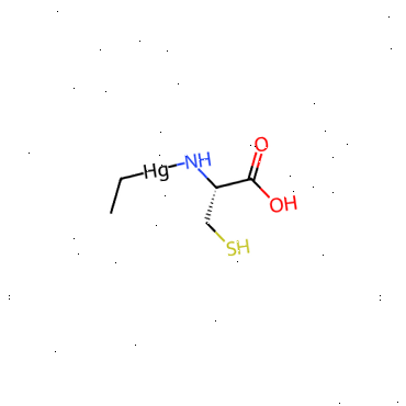 C[CH2][Hg][NH][C@@H](CS)C(=O)O